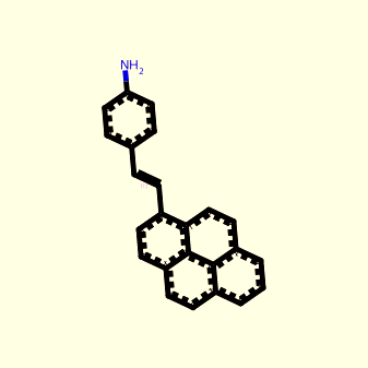 Nc1ccc(/C=C/c2ccc3ccc4cccc5ccc2c3c45)cc1